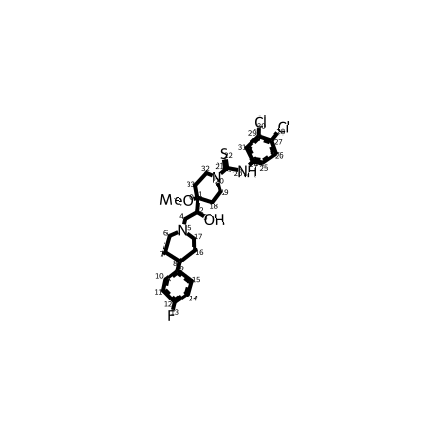 COC1(C(O)CN2CCC(c3ccc(F)cc3)CC2)CCN(C(=S)Nc2ccc(Cl)c(Cl)c2)CC1